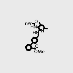 CCCC(=O)Nc1c(C)cc(C)nc1NCc1ccc(-c2ccccc2C(=O)OC)cc1